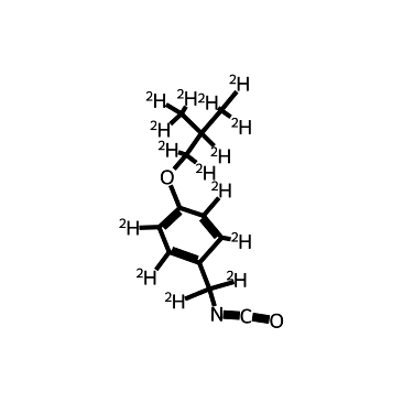 [2H]c1c([2H])c(C([2H])([2H])N=C=O)c([2H])c([2H])c1OC([2H])([2H])C([2H])(C([2H])([2H])[2H])C([2H])([2H])[2H]